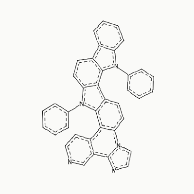 c1ccc(-n2c3ccccc3c3ccc4c(c5ccc6c(c7ccncc7c7nccn67)c5n4-c4ccccc4)c32)cc1